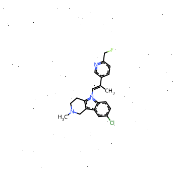 C/C(=C\n1c2c(c3cc(Cl)ccc31)CN(C)CC2)c1ccc(CF)nc1